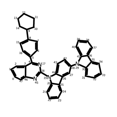 c1ccc2c(-c3ccc(C4CCCCC4)cc3)nc(-n3c4ccccc4c4cc(-n5c6ccccc6c6ccccc65)ccc43)nc2c1